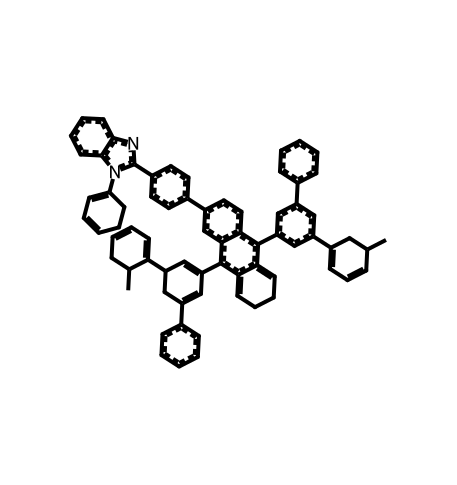 CC1C=CC=C(c2cc(-c3ccccc3)cc(-c3c4c(c(C5=CC(C6=CC=CCC6C)CC(c6ccccc6)=C5)c5cc(-c6ccc(-c7nc8ccccc8n7C7=CC=CCC7)cc6)ccc35)=CCCC=4)c2)C1